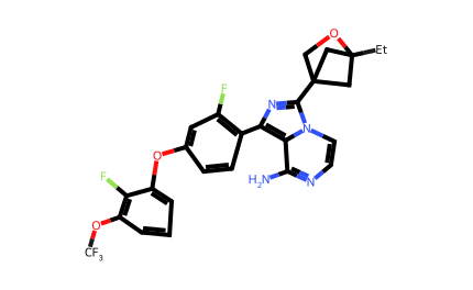 CCC12CC(c3nc(-c4ccc(Oc5cccc(OC(F)(F)F)c5F)cc4F)c4c(N)nccn34)(CO1)C2